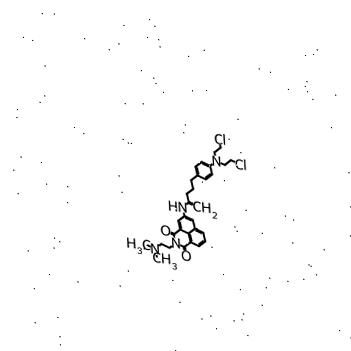 C=C(CCCc1ccc(N(CCCl)CCCl)cc1)Nc1cc2c3c(cccc3c1)C(=O)N(CCN(C)C)C2=O